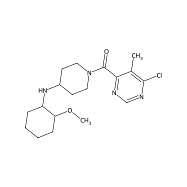 COC1CCCCC1NC1CCN(C(=O)c2ncnc(Cl)c2C)CC1